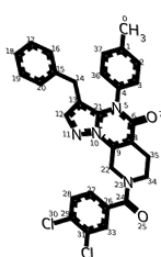 Cc1ccc(-n2c(=O)c3c(n4ncc(Cc5ccccc5)c24)CN(C(=O)c2ccc(Cl)c(Cl)c2)CC3)cc1